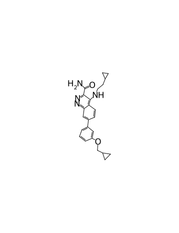 NC(=O)c1nnc2cc(-c3cccc(OCC4CC4)c3)ccc2c1NCCC1CC1